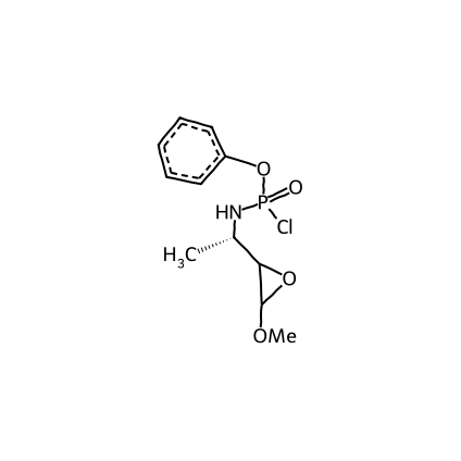 COC1OC1[C@H](C)NP(=O)(Cl)Oc1ccccc1